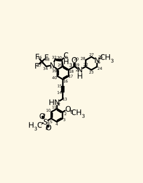 COc1ccc(S(C)(=O)=O)cc1NCC#Cc1cc(C(=O)NC2CCN(C)CC2)c2c(C)cn(CC(F)(F)F)c2c1